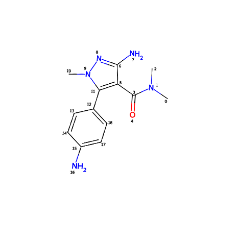 CN(C)C(=O)c1c(N)nn(C)c1-c1ccc(N)cc1